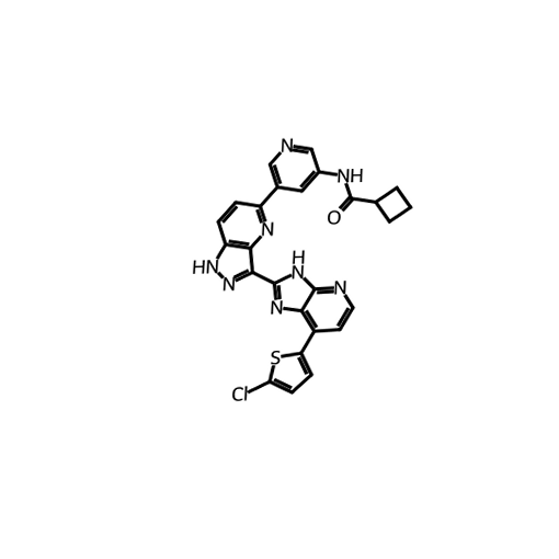 O=C(Nc1cncc(-c2ccc3[nH]nc(-c4nc5c(-c6ccc(Cl)s6)ccnc5[nH]4)c3n2)c1)C1CCC1